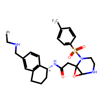 CC(C)CNCc1ccc2c(c1)CCC[C@H]2NC(=O)CC12OC1NCCN2S(=O)(=O)c1ccc(C(F)(F)F)cc1